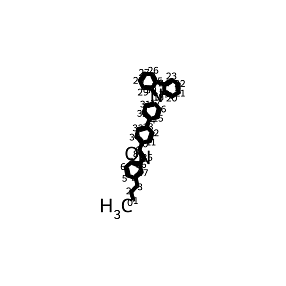 CCCCc1ccc2oc(-c3ccc(-c4ccc(-n5c6ccccc6c6ccccc65)cc4)cc3)nc2c1